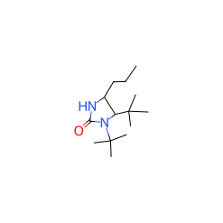 CCCC1NC(=O)N(C(C)(C)C)C1C(C)(C)C